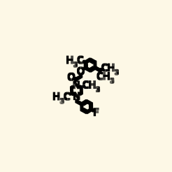 Cc1ccc(C(C)C)cc1OCC(=O)N1C[C@H](C)N(Cc2ccc(F)cc2)C[C@H]1C